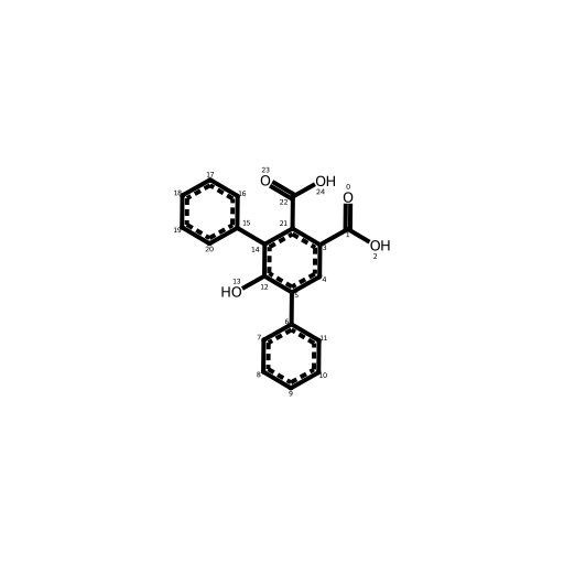 O=C(O)c1cc(-c2ccccc2)c(O)c(-c2ccccc2)c1C(=O)O